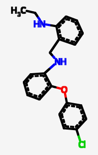 CCNc1ccccc1CNc1ccccc1Oc1ccc(Cl)cc1